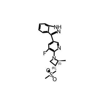 C[C@H]1[C@H](CS(C)(=O)=O)CN1c1ncc(-c2n[nH]c3ccccc23)cc1F